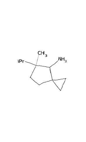 CC(C)C1(C)CCC2(CC2)C1N